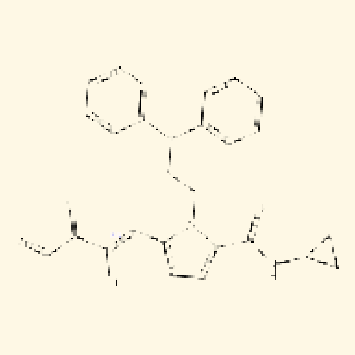 C=CC(=O)/C(O)=C/c1ncc(C(=O)NC2CC2)n1CCC(c1ccccc1)c1ccccc1